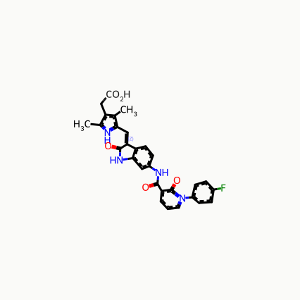 Cc1[nH]c(/C=C2\C(=O)Nc3cc(NC(=O)c4cccn(-c5ccc(F)cc5)c4=O)ccc32)c(C)c1CC(=O)O